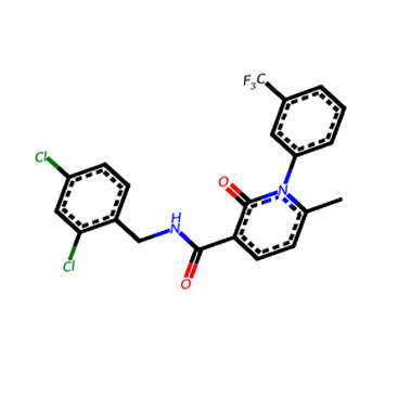 Cc1ccc(C(=O)NCc2ccc(Cl)cc2Cl)c(=O)n1-c1cccc(C(F)(F)F)c1